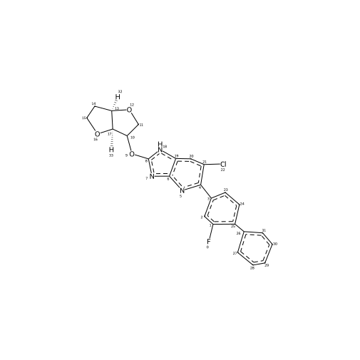 Fc1cc(-c2nc3nc(OC4CO[C@@H]5CCO[C@H]45)[nH]c3cc2Cl)ccc1-c1ccccc1